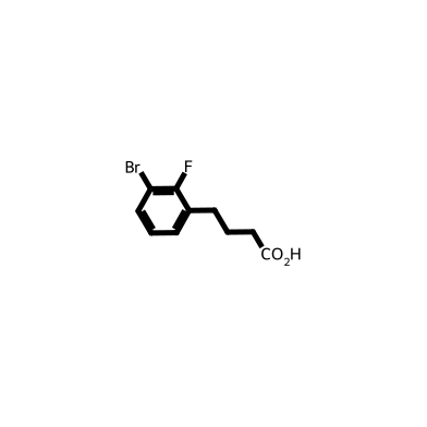 O=C(O)CCCc1cccc(Br)c1F